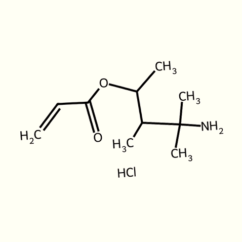 C=CC(=O)OC(C)C(C)C(C)(C)N.Cl